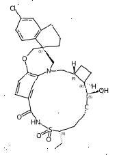 CC[C@H]1CCC[C@H](O)[C@@H]2CC[C@H]2CN2C[C@@]3(CCCc4cc(Cl)ccc43)COc3ccc(cc32)C(=O)NS1(=O)=O